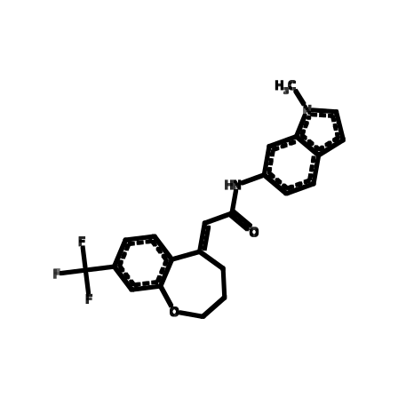 Cn1ccc2ccc(NC(=O)C=C3CCCOc4cc(C(F)(F)F)ccc43)cc21